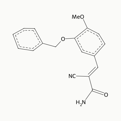 COc1ccc(/C=C(\C#N)C(N)=O)cc1OCc1ccccc1